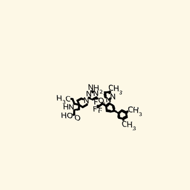 CCC1NC(C(=O)O)CC12CCN(c1cc(O[C@H](c3ccc(-c4cc(C)cc(C)c4)cc3-n3ccc(C)n3)C(F)(F)F)nc(N)n1)CC2